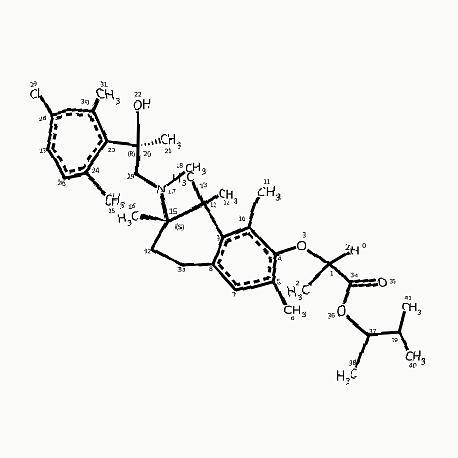 [2H]C(C)(Oc1c(C)cc2c(c1C)C(C)(C)[C@@](C)(N(C)C[C@](C)(O)c1c(C)ccc(Cl)c1C)CC2)C(=O)OC(C)C(C)C